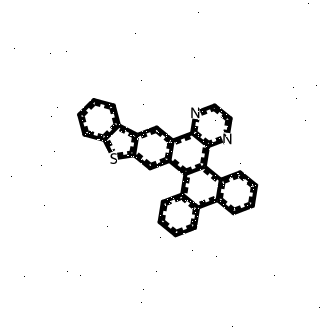 c1ccc2c(c1)sc1cc3c(cc12)c1nccnc1c1c2ccccc2c2ccccc2c31